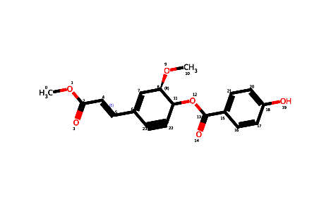 COC(=O)/C=C/C1=C[C@@H](OC)C(OC(=O)c2ccc(O)cc2)C#C1